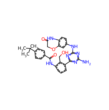 CC(C)(C)c1ccc(C(=O)Nc2cccc(-c3nc(N)nc(Nc4ccc5c(c4)OCC(=O)N5)n3)c2CO)cc1